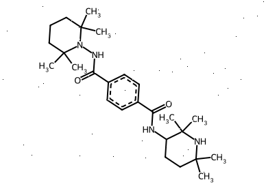 CC1(C)CCC(NC(=O)c2ccc(C(=O)NN3C(C)(C)CCCC3(C)C)cc2)C(C)(C)N1